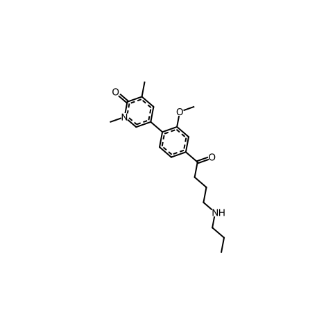 CCCNCCCC(=O)c1ccc(-c2cc(C)c(=O)n(C)c2)c(OC)c1